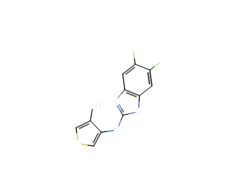 Cc1cscc1Nc1nc2cc(F)c(F)cc2[nH]1